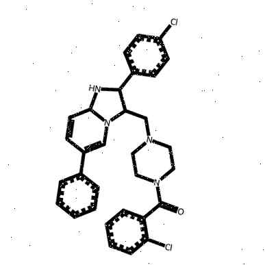 O=C(c1ccccc1Cl)N1CCN(CC2C(c3ccc(Cl)cc3)NC3C=CC(c4ccccc4)=CN32)CC1